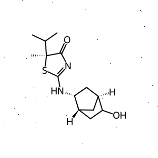 CC(C)[C@]1(C)SC(N[C@@H]2C[C@@H]3C[C@@H]2CC3O)=NC1=O